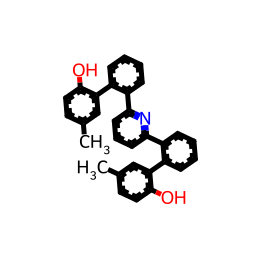 Cc1ccc(O)c(-c2ccccc2-c2cccc(-c3ccccc3-c3cc(C)ccc3O)n2)c1